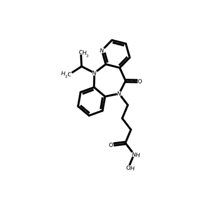 CC(C)N1c2ccccc2N(CCCC(=O)NO)C(=O)c2cccnc21